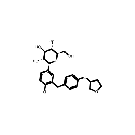 OC[C@H]1O[C@@H](c2ccc(Cl)c(Cc3ccc(OC4CCOC4)cc3)c2)[C@H](O)[C@@H](O)[C@@H]1[18F]